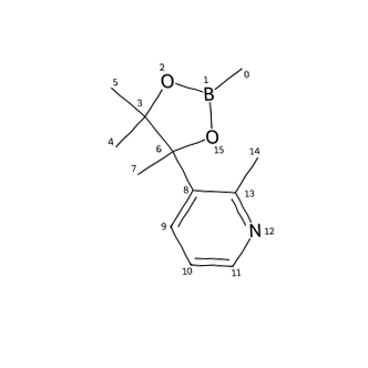 CB1OC(C)(C)C(C)(c2cccnc2C)O1